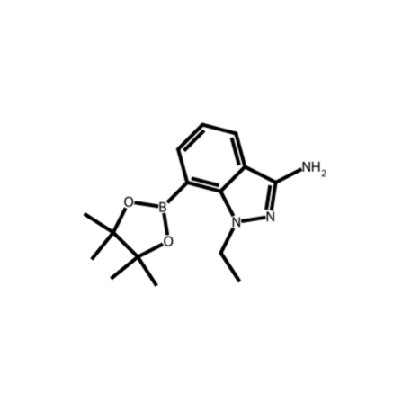 CCn1nc(N)c2cccc(B3OC(C)(C)C(C)(C)O3)c21